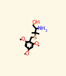 COc1cc(OC)c(CSC(C)(C)C(N)CO)c(OC)c1